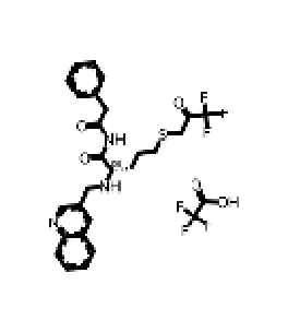 O=C(Cc1ccccc1)NC(=O)[C@H](CCCSCC(=O)C(F)(F)F)NCc1cnc2ccccc2c1.O=C(O)C(F)(F)F